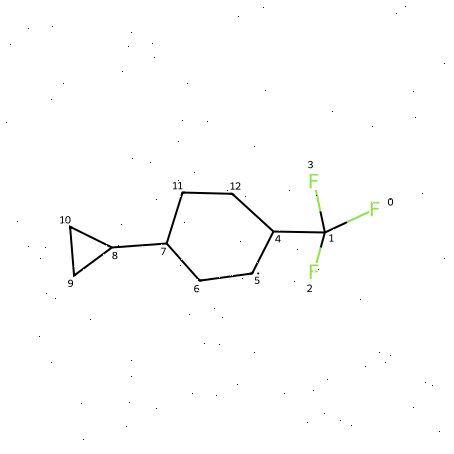 FC(F)(F)C1[CH]CC(C2CC2)CC1